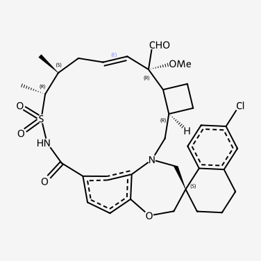 CO[C@@]1(C=O)/C=C/C[C@H](C)[C@@H](C)S(=O)(=O)NC(=O)c2ccc3c(c2)N(C[C@@H]2CCC21)C[C@@]1(CCCc2cc(Cl)ccc21)CO3